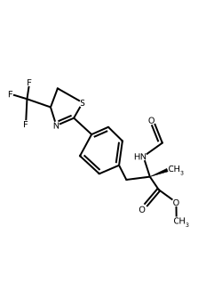 COC(=O)[C@](C)(Cc1ccc(C2=NC(C(F)(F)F)CS2)cc1)NC=O